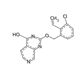 C=Cc1c(Cl)cccc1COc1nc(O)c2ccncc2n1